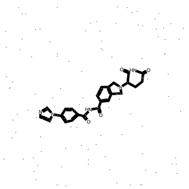 O=C1CCC(N2Cc3ccc(C(=O)NC(=O)c4ccc(-n5ccnc5)cc4)cc3C2)C(=O)N1